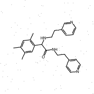 Cc1cc(C)c(C(NCCc2cccnc2)C(=O)NCCc2ccncc2)cc1C